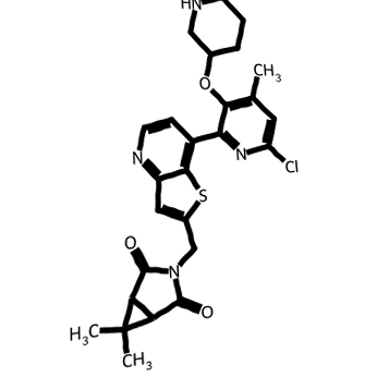 Cc1cc(Cl)nc(-c2ccnc3cc(CN4C(=O)C5C(C4=O)C5(C)C)sc23)c1OC1CCCNC1